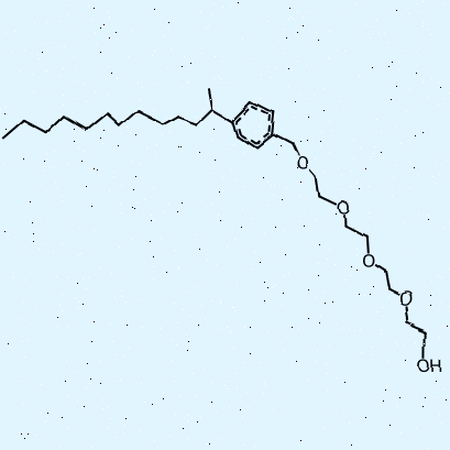 CCCCCCCCCCCC(C)c1ccc(COCCOCCOCCOCCO)cc1